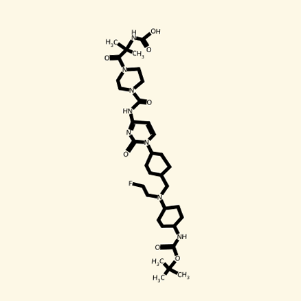 CC(C)(C)OC(=O)NC1CCC(N(CCF)CC2CCC(n3ccc(NC(=O)N4CCN(C(=O)C(C)(C)NC(=O)O)CC4)nc3=O)CC2)CC1